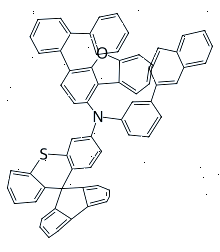 c1ccc(-c2ccccc2-c2ccc(N(c3cccc(-c4ccc5ccccc5c4)c3)c3ccc4c(c3)Sc3ccccc3C43c4ccccc4-c4ccccc43)c3c2oc2ccccc23)cc1